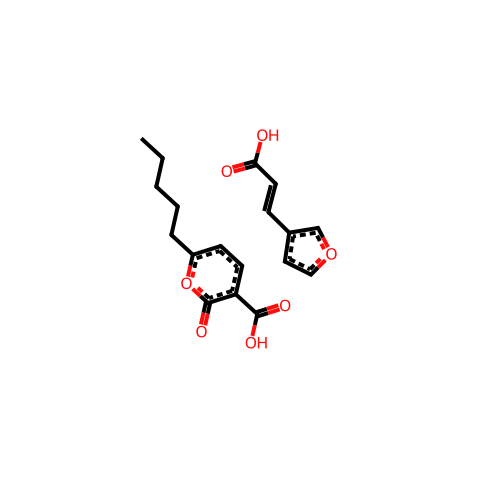 CCCCCc1ccc(C(=O)O)c(=O)o1.O=C(O)C=Cc1ccoc1